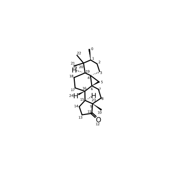 C[C@H]1CC[C@]23C[C@]24CC[C@]2(C)C(=O)CC[C@H]2[C@@H]4CC[C@H]3C1(C)C